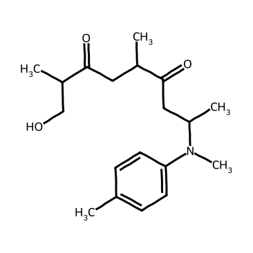 Cc1ccc(N(C)C(C)CC(=O)C(C)CC(=O)C(C)CO)cc1